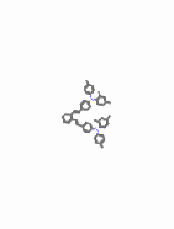 Cc1ccc(N(c2ccc(C=Cc3ccccc3C=Cc3ccc(N(c4ccc(C)cc4)c4ccc(C)cc4C)cc3)cc2)c2ccc(C)cc2C)cc1